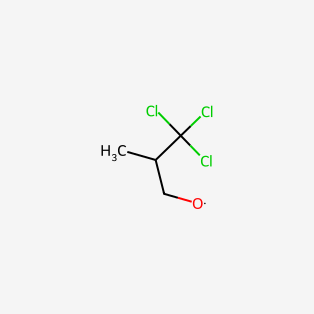 CC(C[O])C(Cl)(Cl)Cl